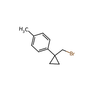 Cc1ccc(C2(CBr)CC2)cc1